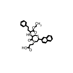 CCOC(=O)C(CCc1ccccc1)NC1CSC(c2ccc3ccccc3c2)CN(CCC(=O)O)C1=O